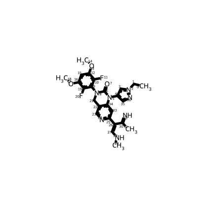 CCn1cc(N2C(=O)N(c3c(F)c(OC)cc(OC)c3F)Cc3cnc(/C(=C/NC)C(C)=N)cc32)cn1